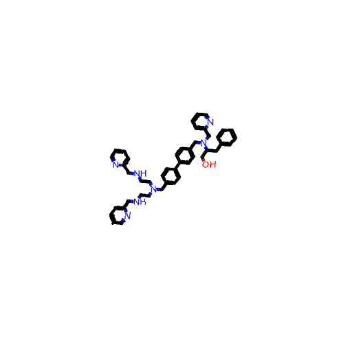 OCC(Cc1ccccc1)N(Cc1ccc(-c2ccc(CN(CCNCc3ccccn3)CCNCc3ccccn3)cc2)cc1)Cc1ccccn1